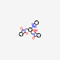 O=C1c2ccccc2C(=O)N1Cc1cc(CN2C(=O)c3ccccc3C2=O)c(O)c(-n2nc3ccccc3n2)c1